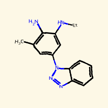 CCNc1cc(-n2nnc3ccccc32)cc(C)c1N